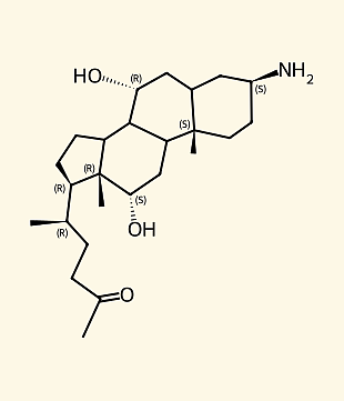 CC(=O)CC[C@@H](C)[C@H]1CCC2C3C(C[C@H](O)[C@@]21C)[C@@]1(C)CC[C@H](N)CC1C[C@H]3O